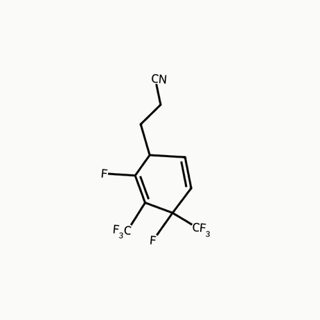 N#CCCC1C=CC(F)(C(F)(F)F)C(C(F)(F)F)=C1F